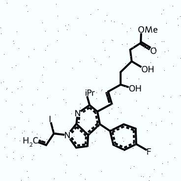 C=CC(I)n1ccc2c(-c3ccc(F)cc3)c(C=CC(O)CC(O)CC(=O)OC)c(C(C)C)nc21